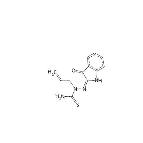 C=CCN(N=C1Nc2ccccc2C1=O)C(N)=S